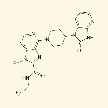 CCn1c(C(=O)NCC(F)(F)F)nc2c(N3CCC(n4c(=O)[nH]c5ncccc54)CC3)ncnc21